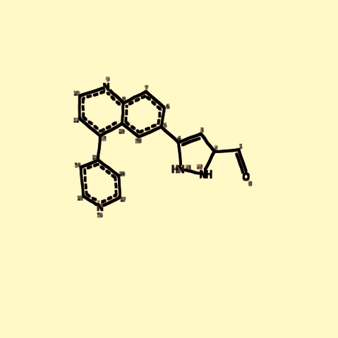 O=CC1C=C(c2ccc3nccc(-c4ccncc4)c3c2)NN1